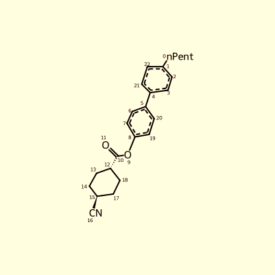 CCCCCc1ccc(-c2ccc(OC(=O)[C@H]3CC[C@H](C#N)CC3)cc2)cc1